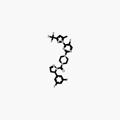 Cc1cc(C(F)(F)F)nn1-c1nc(N2CCN(C(=O)N3N=CCC3c3cc(F)cc(F)c3)CC2)ncc1F